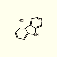 Cl.c1ccc2c(c1)[nH]c1cnccc12